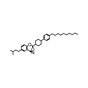 CCCCCCCCCCc1ccc(C2CCC(C(=O)Oc3ccc(CCC(C)C)cc3C#N)CC2)cc1